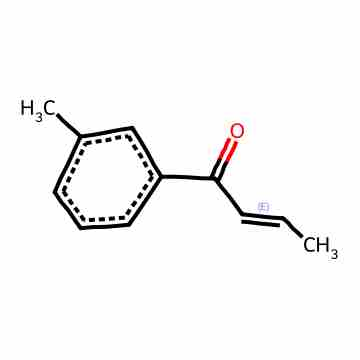 C/C=C/C(=O)c1cccc(C)c1